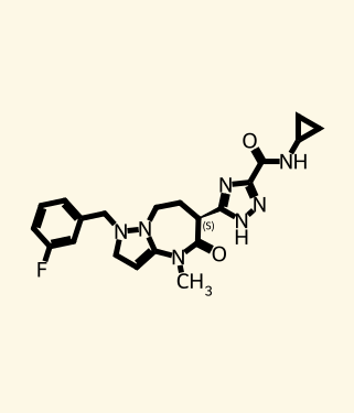 CN1C(=O)[C@H](c2nc(C(=O)NC3CC3)n[nH]2)CCN2C1=CCN2Cc1cccc(F)c1